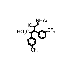 CC(=O)NCC(O)/C(=C(\C(=O)O)c1ccc(C(F)(F)F)cc1)c1cccc(C(F)(F)F)c1